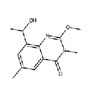 COc1nc2c(C(C)O)cc(C)cc2c(=O)n1C